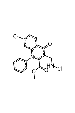 COC(=O)c1c(CNCl)c(=O)c2ccc(Cl)cc2n1-c1ccccc1